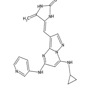 C=c1[nH]c(=O)[nH]/c1=C\c1cnn2c(NC3CC3)cc(Nc3cccnc3)nc12